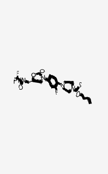 CCCCOC(=S)N1CCN(c2ccc(N3C[C@H](CNC(=O)C(F)F)OC3=O)cc2F)CC1